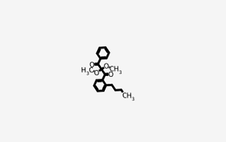 CCCCc1ccccc1C(=O)C(OC)(OC)C(=O)c1ccccc1